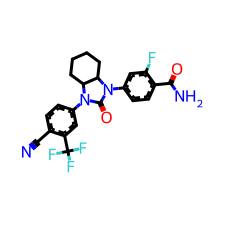 N#Cc1ccc(N2C(=O)N(c3ccc(C(N)=O)c(F)c3)C3CCCCC32)cc1C(F)(F)F